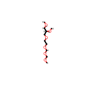 COCOCOCCOCC(COC)OC